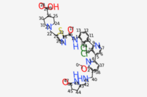 COc1nc(-c2ccnc(-c3cccc(NC(=O)c4ncc(CN5CCC(C(=O)O)CC5)s4)c3Cl)c2Cl)ccc1CNCC1CCC(=O)N1